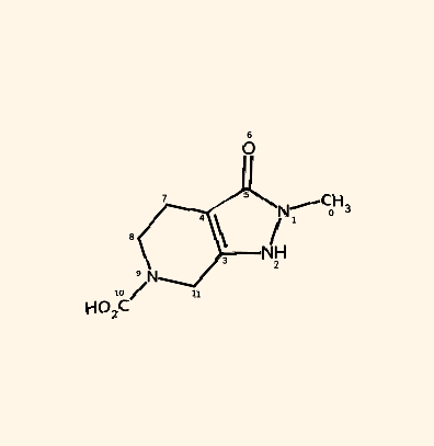 Cn1[nH]c2c(c1=O)CCN(C(=O)O)C2